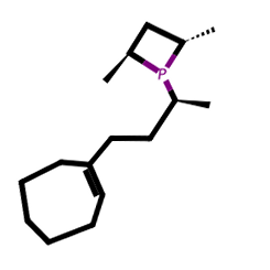 C[C@@H](CCC1=CCCCCC1)P1[C@@H](C)C[C@@H]1C